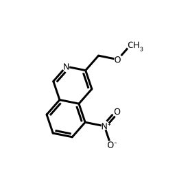 COCc1cc2c([N+](=O)[O-])cccc2cn1